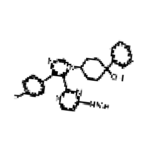 CNc1ccnc(-c2c(-c3ccc(F)cc3)ncn2C2CCC(O)(c3ccccc3)CC2)n1